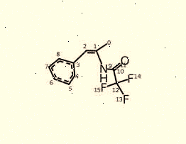 CC(=Cc1ccccc1)NC(=O)C(F)(F)F